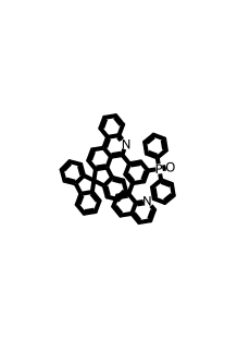 O=P(c1ccccc1)(c1ccccc1)c1cc(-c2cccc3cccnc23)cc(-c2nc3ccccc3c3ccc4c(c23)-c2ccccc2C42c3ccccc3-c3ccccc32)c1